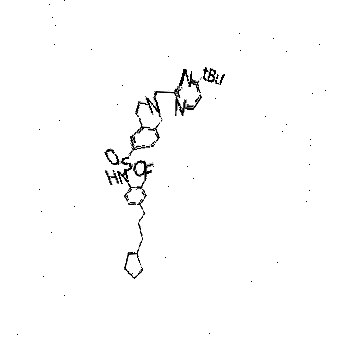 CC(C)(C)c1ccnc(CN2CCc3cc(S(=O)(=O)Nc4ccc(CCCC5CCCC5)cc4F)ccc3C2)n1